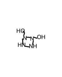 OCCN1CCNCCNCCN(CCO)CC1